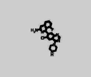 Nc1cc2cccc(F)c2c(-c2cc3ncnc(N4CCNCC4)c3cc2Cl)n1